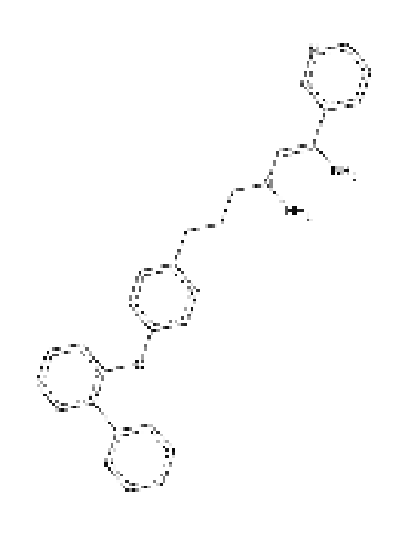 N/C(=C\N(N)CCCc1ccc(Oc2ccccc2-c2ccccc2)cc1)c1cccnc1